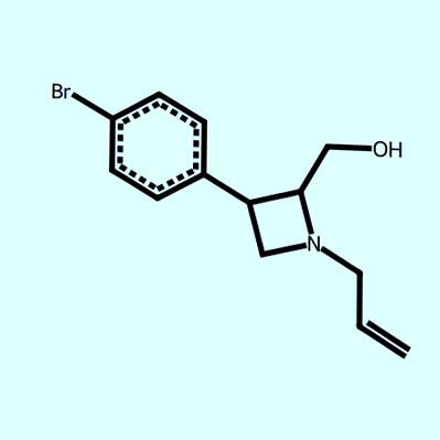 C=CCN1CC(c2ccc(Br)cc2)C1CO